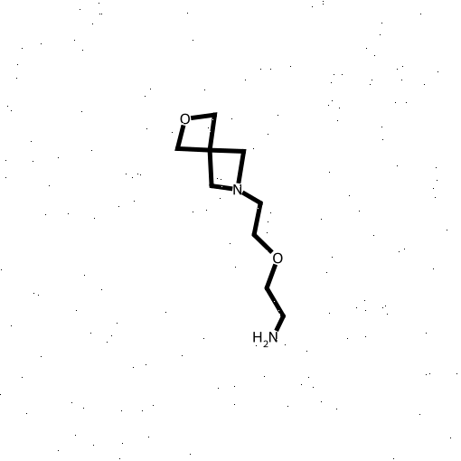 NCCOCCN1CC2(COC2)C1